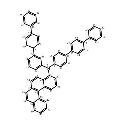 C1=CC(c2cccc(N(c3ccc(-c4ccc(-c5ccccc5)cc4)cc3)c3cccc4c3ccc3ccc5ccccc5c34)c2)CC=C1c1ccccc1